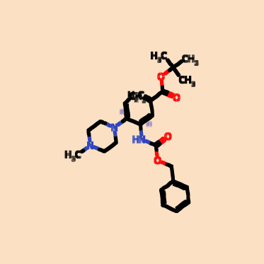 C=C(/C=C(NC(=O)OCc1ccccc1)\C(=C/C)N1CCN(C)CC1)C(=O)OC(C)(C)C